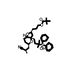 C[C@@H](C#N)C[C@H]1CC[C@@H]2O[C@@H](CCCOC(=O)C(C)(C)C)C[C@]2(CCC(C)(C)[Si](O)(c2ccccc2)c2ccccc2)O1